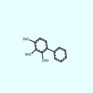 O=Cc1ccc(-c2ccccc2)c(C=O)c1C=O